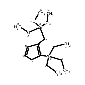 C[CH2][Pt]([CH2]C)([CH2]C)[C]1=C(C[Si](OC)(OC)OC)C=CC1